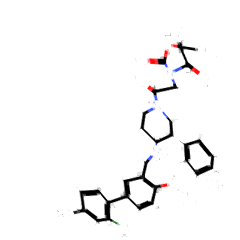 CC1(C)OC(=O)N(CC(=O)N2CC[C@H](NCc3cc(-c4ccc(C#N)cc4Cl)ccc3OC(F)(F)F)[C@H](c3ccccc3)C2)C1=O.Cl